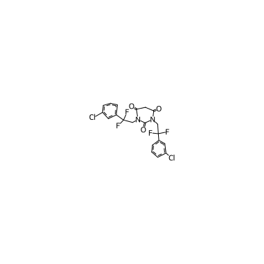 O=C1CC(=O)N(CC(F)(F)c2cccc(Cl)c2)C(=O)N1CC(F)(F)c1cccc(Cl)c1